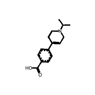 CC(C)N1CC=C(c2ccc(C(=O)O)cc2)CC1